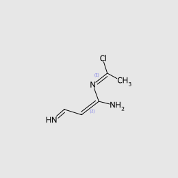 C/C(Cl)=N\C(N)=C/C=N